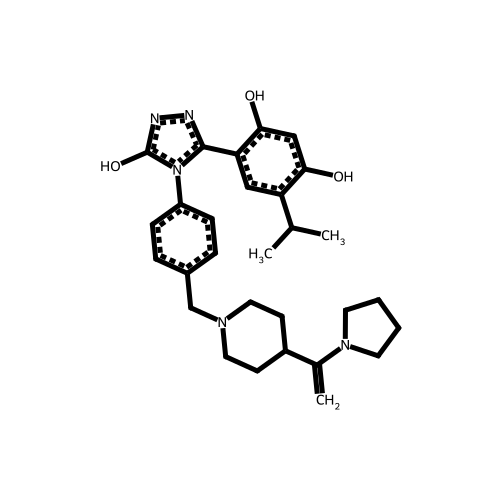 C=C(C1CCN(Cc2ccc(-n3c(O)nnc3-c3cc(C(C)C)c(O)cc3O)cc2)CC1)N1CCCC1